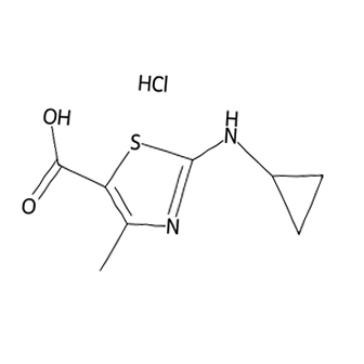 Cc1nc(NC2CC2)sc1C(=O)O.Cl